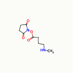 CNCCCC(=O)ON1C(=O)CCC1=O